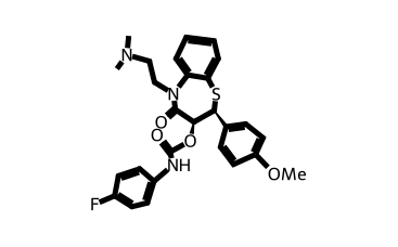 COc1ccc([C@@H]2Sc3ccccc3N(CCN(C)C)C(=O)[C@@H]2OC(=O)Nc2ccc(F)cc2)cc1